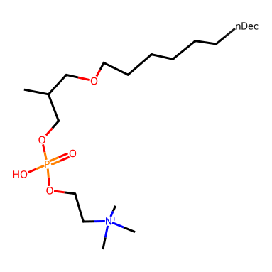 CCCCCCCCCCCCCCCCOCC(C)COP(=O)(O)OCC[N+](C)(C)C